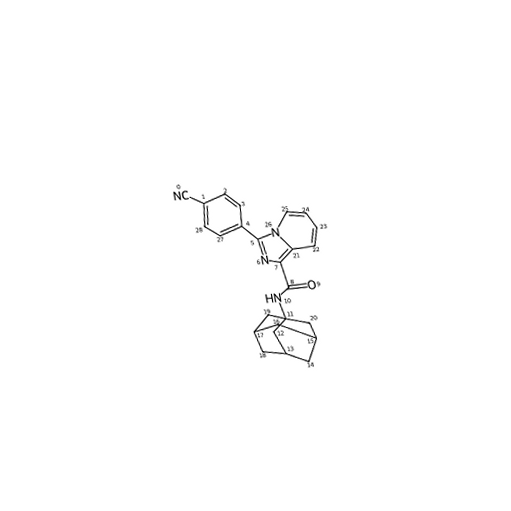 N#Cc1ccc(-c2nc(C(=O)NC34CC5CC(CC(C5)C3)C4)c3ccccn23)cc1